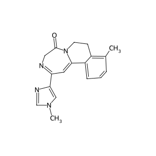 Cc1cccc2c1CCN1C(=O)CN=C(c3cn(C)cn3)C=C21